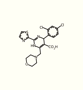 O=C(O)C1=C(CN2CCOCC2)NC(c2nccs2)=NC1c1ccc(Cl)cc1Cl